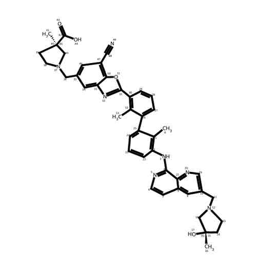 Cc1c(Nc2nccc3cc(CN4CC[C@](C)(O)C4)cnc23)cccc1-c1cccc(-c2nc3cc(CN4CC[C@@](C)(C(=O)O)C4)cc(C#N)c3o2)c1C